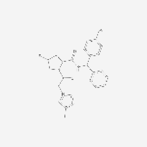 Cc1ccn(CC(=O)N2CC(F)CC2C(=O)NC(c2ccccc2)c2ccc(C(C)C)cc2)n1